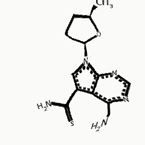 C[C@@H]1CC[C@H](n2cc(C(N)=S)c3c(N)ncnc32)O1